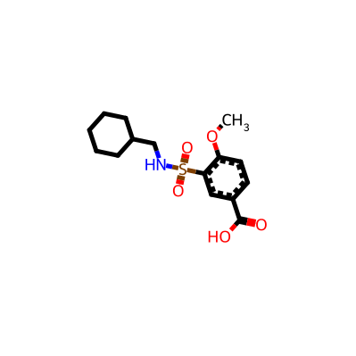 COc1ccc(C(=O)O)cc1S(=O)(=O)NCC1CCCCC1